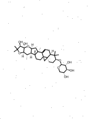 C[C@H]1[C@H]2[C@H](C[C@@]3(C)C4=CC[C@H]5C(C)(C)[C@@H](O[C@@H]6OC[C@@H](O)[C@H](O)[C@H]6O)CC[C@@]56C[C@@]46CC[C@]23C)O[C@@]2(O)[C@@H]1OC(C)(C)[C@H]2O